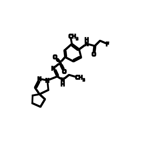 CCN/C(=N\S(=O)(=O)c1ccc(NC(=O)CF)c(C)c1)N1CC2(C=N1)CCCC2